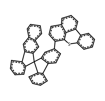 c1ccc2c(c1)Sc1c(-c3ccc4c(c3)C3(c5ccccc5-4)c4ccccc4-c4cc5ccccc5cc43)ccc3cccc-2c13